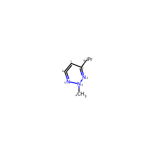 CC(C)C1=NN(C)N=C=C1